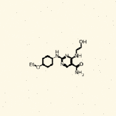 CCO[C@H]1CC[C@H](Nc2ncc(C(N)=O)c(NCCO)n2)CC1